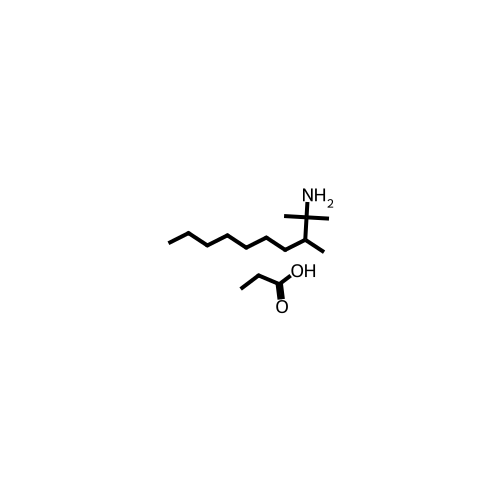 CCC(=O)O.CCCCCCCC(C)C(C)(C)N